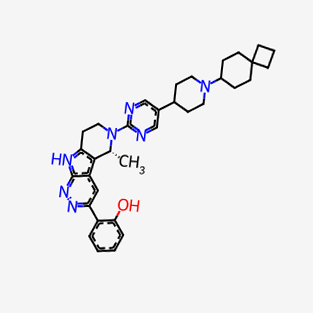 C[C@@H]1c2c([nH]c3nnc(-c4ccccc4O)cc23)CCN1c1ncc(C2CCN(C3CCC4(CCC4)CC3)CC2)cn1